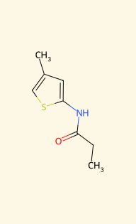 CCC(=O)Nc1cc(C)cs1